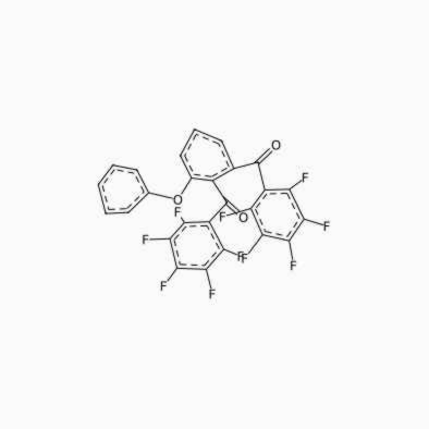 O=C(c1cccc(Oc2ccccc2)c1C(=O)c1c(F)c(F)c(F)c(F)c1F)c1c(F)c(F)c(F)c(F)c1F